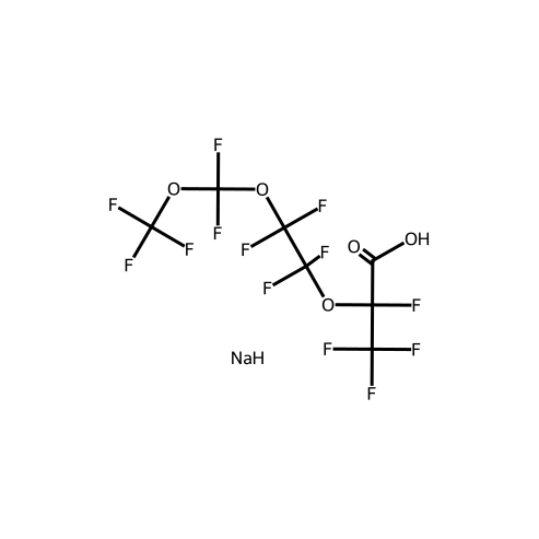 O=C(O)C(F)(OC(F)(F)C(F)(F)OC(F)(F)OC(F)(F)F)C(F)(F)F.[NaH]